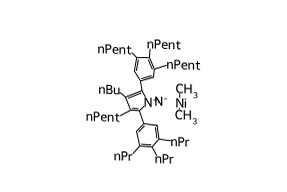 CCCCCC1=C(c2cc(CCC)c(CCC)c(CCC)c2)[N+](=[N-])C(c2cc(CCCCC)c(CCCCC)c(CCCCC)c2)=C1CCCC.[CH3][Ni][CH3]